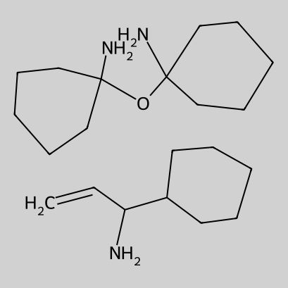 C=CC(N)C1CCCCC1.NC1(OC2(N)CCCCC2)CCCCC1